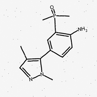 Cc1cnn(C)c1-c1ccc(N)c(P(C)(C)=O)c1